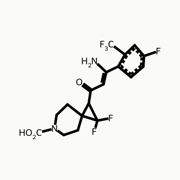 NC(=CC(=O)C1C(F)(F)C12CCN(C(=O)O)CC2)c1ccc(F)cc1C(F)(F)F